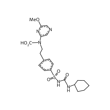 COc1cncc(N(CCc2ccc(S(=O)(=O)NC(=O)NC3CCCCC3)cc2)C(=O)O)n1